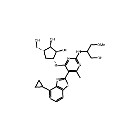 COCC(CO)Nc1nc(C)c(-c2nc3c(C4CC4)nccc3s2)c(N[C@@H]2C[C@H](CO)[C@@H](O)[C@H]2O)n1